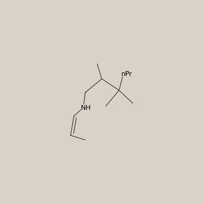 C/C=C\NCC(C)C(C)(C)CCC